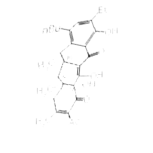 CCCCc1cc(CC)c(O)c2c1C[C@]1(C)C[C@]3(C)CC(C)=C(C(C)=O)C(=O)[C@]3(O)C(O)=C1C2=O